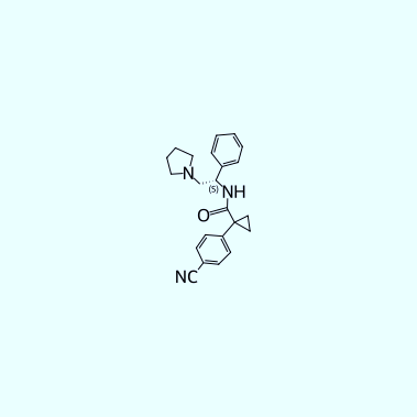 N#Cc1ccc(C2(C(=O)N[C@H](CN3CCCC3)c3ccccc3)CC2)cc1